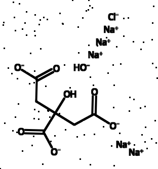 O=C([O-])CC(O)(CC(=O)[O-])C(=O)[O-].[Cl-].[Na+].[Na+].[Na+].[Na+].[Na+].[OH-]